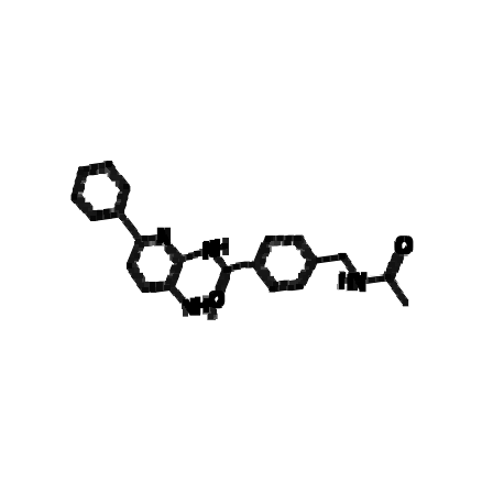 CC(=O)NCc1ccc(C(=O)Nc2nc(-c3ccccc3)ccc2N)cc1